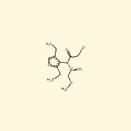 CCc1csc(CC)c1N(C(=O)CCl)[C@@H](C)COC